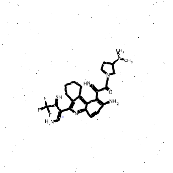 CN(C)C1CCN(C(=O)C(=N)c2c(N)ccc3nc(/C(=C/N)C(=N)C(F)(F)F)c4c(c23)CCCC4)C1